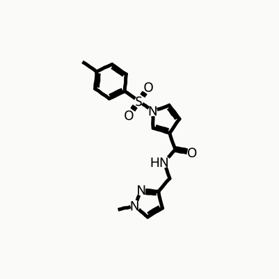 Cc1ccc(S(=O)(=O)n2ccc(C(=O)NCc3ccn(C)n3)c2)cc1